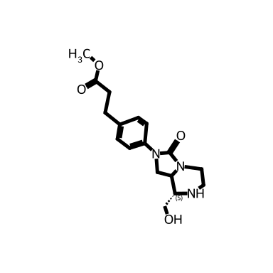 COC(=O)CCc1ccc(N2CC3[C@@H](CO)NCCN3C2=O)cc1